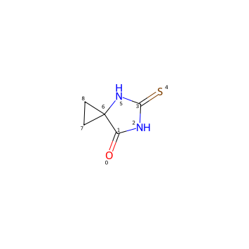 O=C1NC(=S)NC12CC2